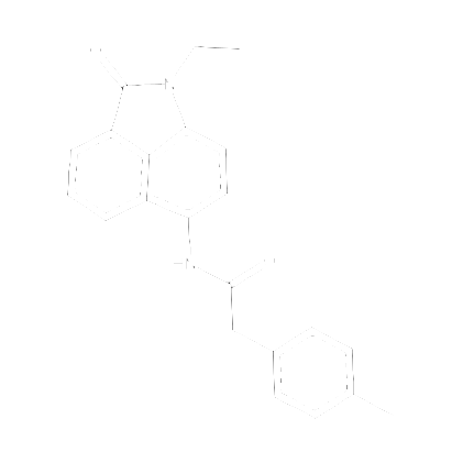 CCN1C(=O)c2cccc3c(NC(=O)Cc4ccc(C)cc4)ccc1c23